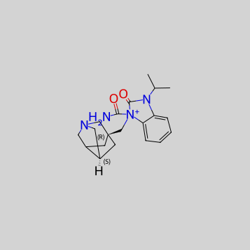 CC(C)N1C(=O)[N+](C[C@]23CC4CN(C[C@H]4C2)C3)(C(N)=O)c2ccccc21